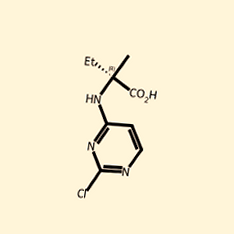 CC[C@@](C)(Nc1ccnc(Cl)n1)C(=O)O